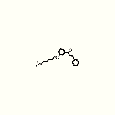 CN(C)CCCCCCOc1cccc(C(=O)C=Cc2ccccc2)c1